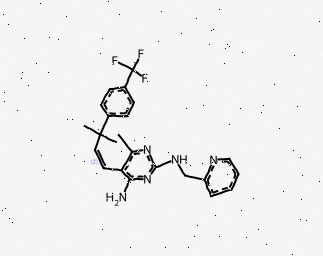 Cc1nc(NCc2ccccn2)nc(N)c1/C=C\C(C)(C)c1ccc(C(F)(F)F)cc1